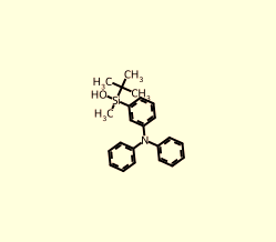 CC(C)(C)[Si](C)(O)c1cccc(N(c2ccccc2)c2ccccc2)c1